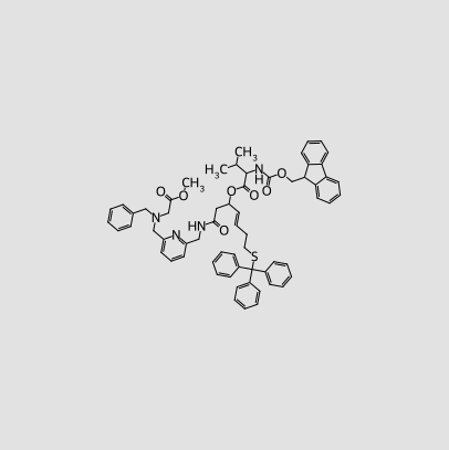 COC(=O)CN(Cc1ccccc1)Cc1cccc(CNC(=O)CC(C=CCCSC(c2ccccc2)(c2ccccc2)c2ccccc2)OC(=O)C(NC(=O)OCC2c3ccccc3-c3ccccc32)C(C)C)n1